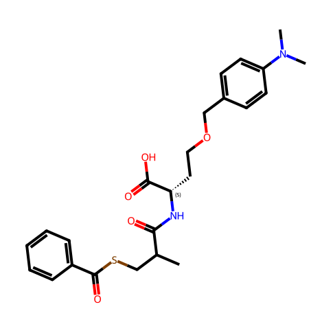 CC(CSC(=O)c1ccccc1)C(=O)N[C@@H](CCOCc1ccc(N(C)C)cc1)C(=O)O